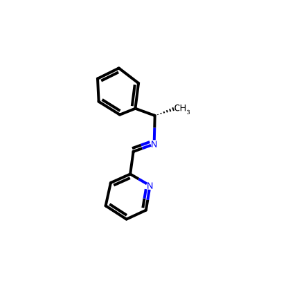 C[C@H](/N=C/c1ccccn1)c1ccccc1